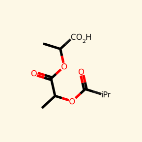 CC(C)C(=O)OC(C)C(=O)OC(C)C(=O)O